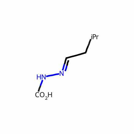 CC(C)CC=NNC(=O)O